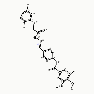 COc1cc(C(=O)Oc2ccc(/C=N/NC(=O)COc3cc(C)ccc3C)cc2)cc(C)c1OC